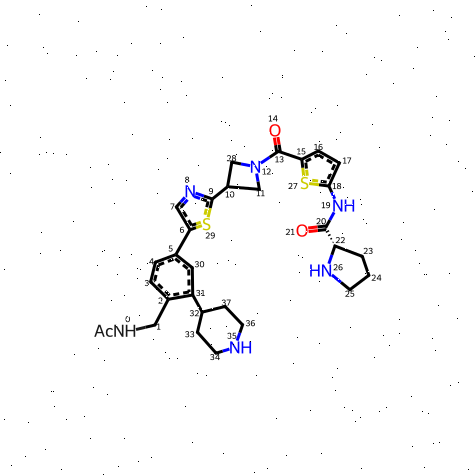 CC(=O)NCc1ccc(-c2cnc(C3CN(C(=O)c4ccc(NC(=O)[C@@H]5CCCN5)s4)C3)s2)cc1C1CCNCC1